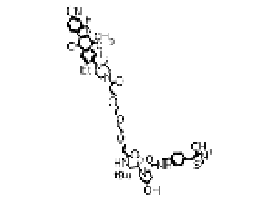 CCc1cc2c(cc1N1CCN(C(=O)CCOCCOCCOCCC(=O)N[C@H](C(=O)N3C[C@H](O)C[C@H]3C(=O)NCc3ccc(-c4scnc4C)cc3)C(C)(C)C)CC1)C(C)(C)c1[nH]c3cc(C#N)ccc3c1C2=O